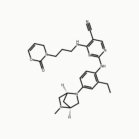 CCc1cc(N2C[C@@H]3C[C@H]2CN3C)ccc1Nc1ncc(C#N)c(NCCCN2CC=COC2=O)n1